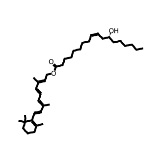 CCCCCC[C@@H](O)C/C=C\CCCCCCCC(=O)OCC=C(C)C=CC=C(C)C=CC1=C(C)CCCC1(C)C